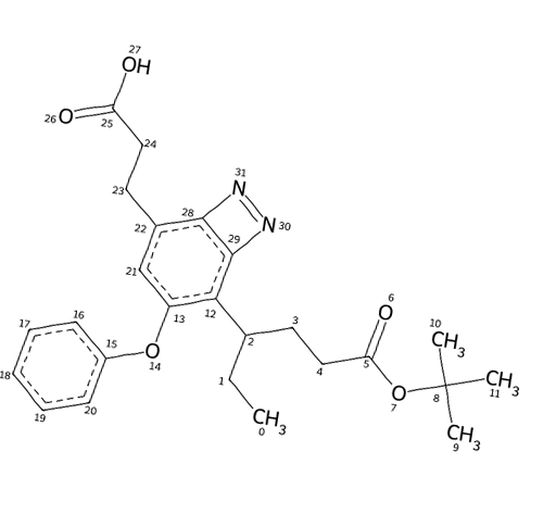 CCC(CCC(=O)OC(C)(C)C)c1c(Oc2ccccc2)cc(CCC(=O)O)c2c1N=N2